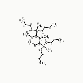 CCCO[Si](C)(OCCC)C(CC)N(C)C(CC)[Si](C)(OCCC)OCCC